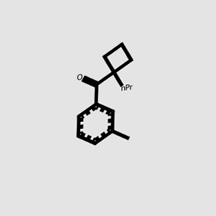 CCCC1(C(=O)c2cccc(C)c2)CCC1